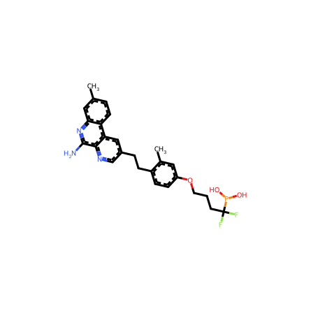 Cc1ccc2c(c1)nc(N)c1ncc(CCc3ccc(OCCCC(F)(F)P(O)O)cc3C)cc12